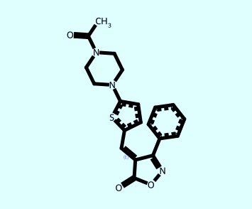 CC(=O)N1CCN(c2ccc(/C=C3/C(=O)ON=C3c3ccccc3)s2)CC1